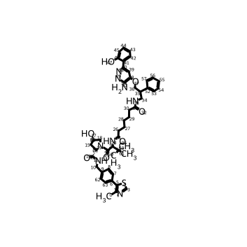 Cc1ncsc1-c1ccc(CNC(=O)[C@@H]2C[C@@H](O)CN2C(=O)C(NC(=O)CCCCCC(=O)NCC(COc2cc(-c3ccccc3O)nnc2N)c2ccccc2)C(C)(C)C)cc1